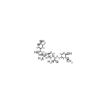 COc1cc(CCC(C(N)=O)c2cccc(CC(C)(C)NC[C@H](O)c3ccc(N)nc3)c2)ccc1O